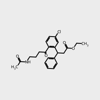 CCOC(=O)CC(c1ccccc1)c1cc(Cl)ccc1C(=O)CCCNC(C)=O